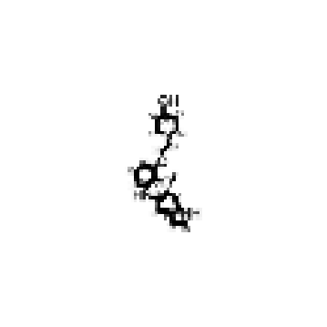 COc1c(Nc2ccc3[nH]ccc3c2)cccc1OCCN1CCC(O)CC1